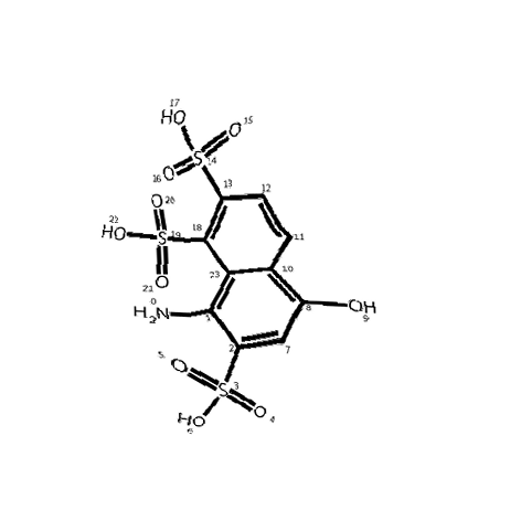 Nc1c(S(=O)(=O)O)cc(O)c2ccc(S(=O)(=O)O)c(S(=O)(=O)O)c12